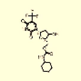 O=C(NC1CCCCC1)OC[C@@H]1O[C@H](n2cc(C(F)(F)F)c(=O)[nH]c2=O)CC1O